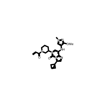 C=CC(=O)N1CCCC(n2cc(Nc3cn(C)nc3OC)c3ncc(C45CC(C4)C5)n3c2=O)C1